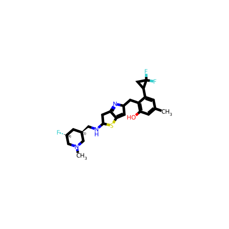 Cc1cc(O)c(CC2C=C3SC(NC[C@@H]4C[C@@H](F)CN(C)C4)CC3=N2)c(C2CC2(F)F)c1